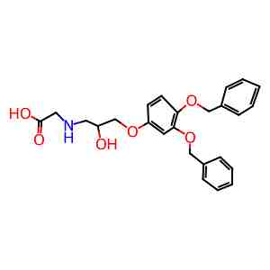 O=C(O)CNCC(O)COc1ccc(OCc2ccccc2)c(OCc2ccccc2)c1